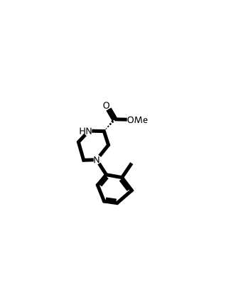 COC(=O)[C@@H]1CN(c2ccccc2C)CCN1